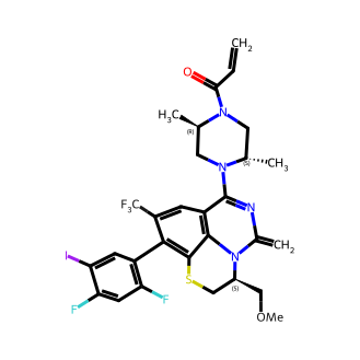 C=CC(=O)N1C[C@H](C)N(C2=NC(=C)N3c4c2cc(C(F)(F)F)c(-c2cc(I)c(F)cc2F)c4SC[C@@H]3COC)C[C@H]1C